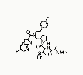 CCO[C@H](C)[C@H](NC(=O)[C@H](C)NC)C(=O)N1CCC[C@H]1CN(CCc1ccc(F)cc1)C(=O)c1cn2cc(F)cnc2n1